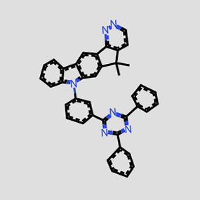 CC1(C)c2cc3c(cc2-c2nnccc21)c1ccccc1n3-c1cccc(-c2nc(-c3ccccc3)nc(-c3ccccc3)n2)c1